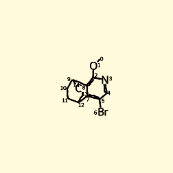 COc1ncc(Br)c2c1C1CCC2CC1